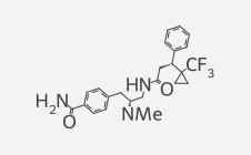 CN[C@H](CNC(=O)C[C@@H](c1ccccc1)C1(C(F)(F)F)CC1)Cc1ccc(C(N)=O)cc1